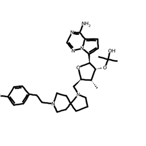 C[C@H]1[C@@H](OC(C)(C)O)[C@H](c2ccc3c(N)ncnn23)O[C@@H]1CN1CCCC12CCN(CCc1ccc(F)cc1)CC2